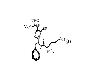 CC[C@H](C)[C@H](NC(=O)[C@H](Cc1ccccc1)NC(=O)[C@@H](N)CCC(=O)O)C(=O)N[C@@H](C)[C]=O